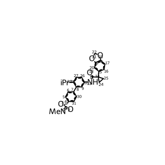 CNS(=O)(=O)c1ccc(-c2cc(NC(=O)C3(c4ccc5c(c4)OCO5)CC3)ccc2C(C)C)cc1